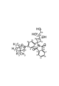 CC1(C)OB(c2ccc([C@]3(N4C(=O)c5ccccc5C4=O)C[C@](O)([C@H](O)CO)C3)cc2)OC1(C)C